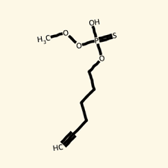 C#CCCCCOP(O)(=S)OOC